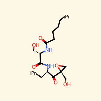 CC(C)CCCCC(=O)N[C@@H](CO)C(=O)N[C@@H](CC(C)C)C(=O)[C@@]1(CO)CO1